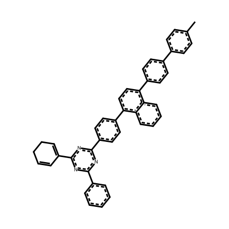 Cc1ccc(-c2ccc(-c3ccc(-c4ccc(-c5nc(C6=CCCC=C6)nc(-c6ccccc6)n5)cc4)c4ccccc34)cc2)cc1